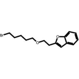 BrCCCCCOCCc1cc2ccccc2o1